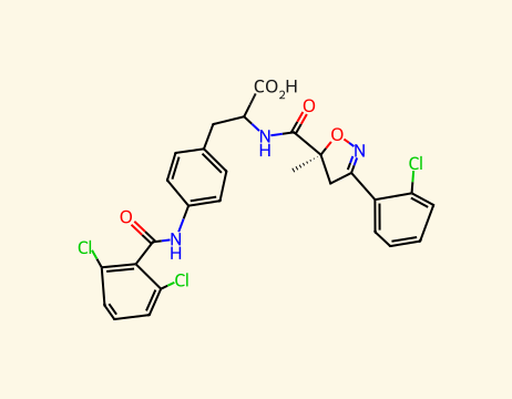 C[C@@]1(C(=O)NC(Cc2ccc(NC(=O)c3c(Cl)cccc3Cl)cc2)C(=O)O)CC(c2ccccc2Cl)=NO1